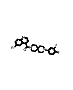 O=C(c1ccnc2ccc(Br)cc12)N1CCC2(CC1)CCN(c1ccc(F)c(F)c1)CC2